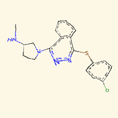 CNC1CCN(c2nnc(Sc3ccc(Cl)cc3)c3ccccc23)C1